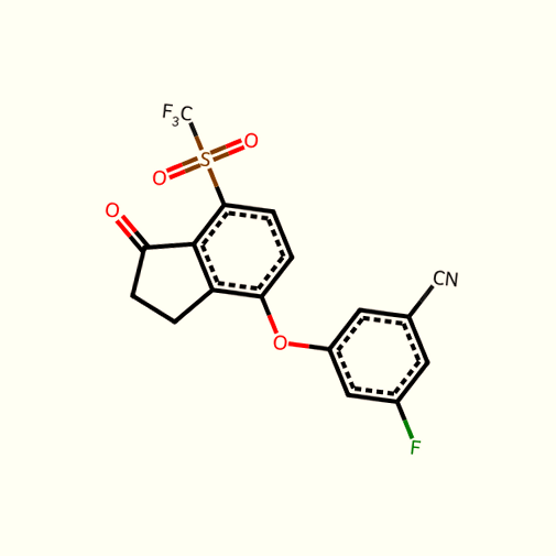 N#Cc1cc(F)cc(Oc2ccc(S(=O)(=O)C(F)(F)F)c3c2CCC3=O)c1